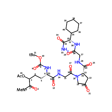 CNC(=O)C(CC[C@H](NC(=O)OC(C)(C)C)C(=O)NCC(=O)N1CC(=O)C[C@H]1C(=O)NCC(=O)N[C@H](C(N)=O)C1CCCCC1)OC(C)=O